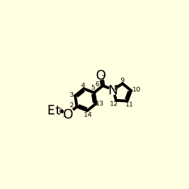 CCOc1ccc(C(=O)N2CC=CC2)cc1